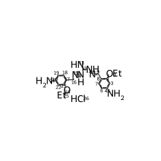 CCOc1cc(N)ccc1C=NNC(=N)NN=Cc1ccc(N)cc1OCC.Cl